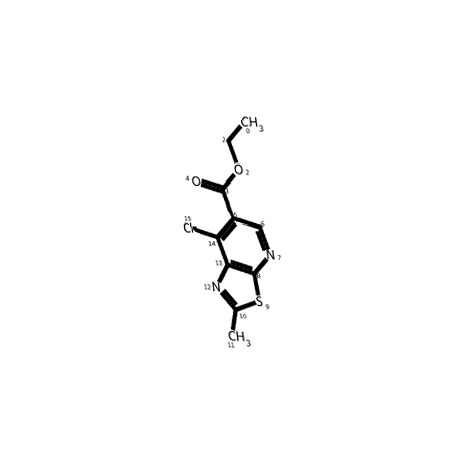 CCOC(=O)c1cnc2sc(C)nc2c1Cl